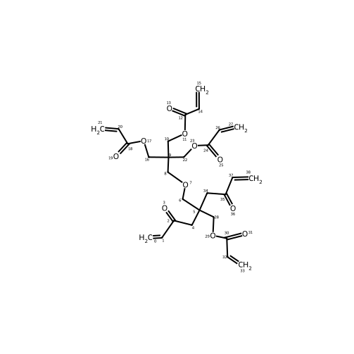 C=CC(=O)CC(COCC(COC(=O)C=C)(COC(=O)C=C)COC(=O)C=C)(COC(=O)C=C)CC(=O)C=C